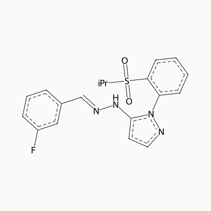 CC(C)S(=O)(=O)c1ccccc1-n1nccc1NN=Cc1cccc(F)c1